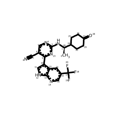 C[C@@H](Nc1ncc(C#N)c(-c2c[nH]c3ncc(C(F)(F)F)cc23)n1)C1CCC(=O)CC1